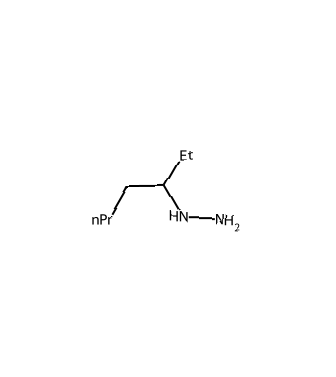 CCCCC(CC)NN